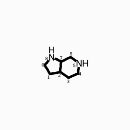 [CH]1CC2CCNCC2N1